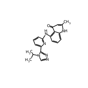 Cc1cc(=O)c2c(Nc3cccc(-c4nncn4C(C)C)n3)cccc2[nH]1